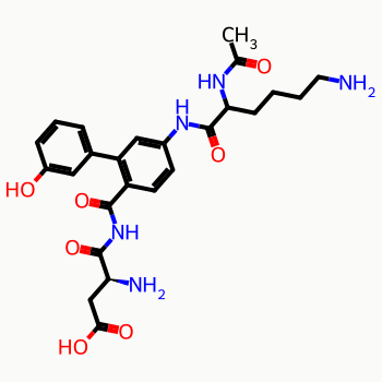 CC(=O)NC(CCCCN)C(=O)Nc1ccc(C(=O)NC(=O)[C@@H](N)CC(=O)O)c(-c2cccc(O)c2)c1